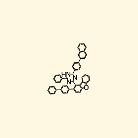 c1ccc(C2=NC(c3c(-c4ccc(-c5ccccc5)cc4)ccc4oc5ccccc5c34)=NC(c3ccc(-c4ccc5ccccc5c4)cc3)N2)cc1